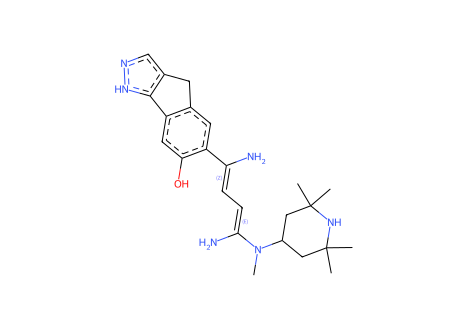 CN(/C(N)=C/C=C(\N)c1cc2c(cc1O)-c1[nH]ncc1C2)C1CC(C)(C)NC(C)(C)C1